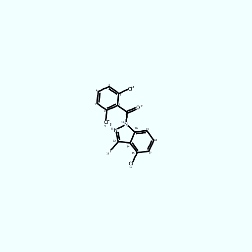 O=C(c1c(Cl)cccc1C(F)(F)F)n1nc(I)c2c(Cl)cccc21